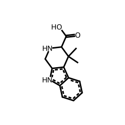 CC1(C)c2c([nH]c3ccccc23)CNC1C(=O)O